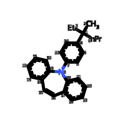 CCCC(C)(CC)c1ccc(N2c3ccccc3C=Cc3ccccc32)cc1